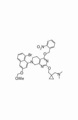 COCOc1cc(N2CCc3c(nc(OCC4(CN(C)C)CC4)nc3OCc3ccccc3[N+](=O)[O-])C2)c2c(Br)cccc2c1